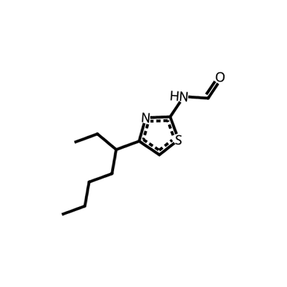 CCCCC(CC)c1csc(NC=O)n1